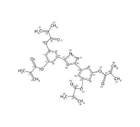 C=C(C)C(=O)Oc1cc(OC(=O)C(=C)C)cc(-c2nnc(-c3cc(OC(=O)C(=C)C)cc(OC(=O)C(=C)C)c3)o2)c1